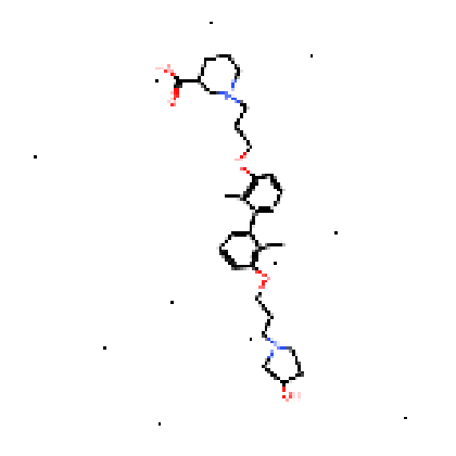 Cc1c(OCCCN2CCCC(C(=O)O)C2)cccc1-c1cccc(OCCCN2CC[C@@H](O)C2)c1C